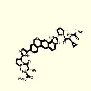 COC(=O)N[C@H](C(=O)N1C(c2ncc(-c3ccc4c(c3)COc3cc5c(ccc6nc([C@@H]7CC[C@H](C)N7C(=O)[C@@H](NC(=O)OC)C7CC7)[nH]c65)cc3-4)[nH]2)CC[C@@H]1C)C(C)C